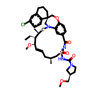 CC[C@H]1[C@@H](OC)/C=C/C[C@H](C)CS(=O)(NC(=O)N2CC[C@@H](COC)C2)=NC(=O)c2ccc3c(c2)N(C[C@@H]1C)C[C@@]1(CCCc2cc(Cl)ccc21)CO3